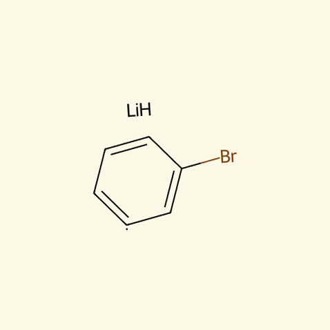 Brc1c[c]ccc1.[LiH]